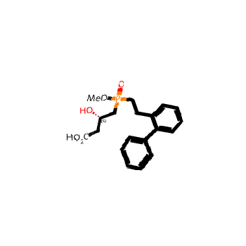 COP(=O)(CCc1ccccc1-c1ccccc1)C[C@@H](O)CC(=O)O